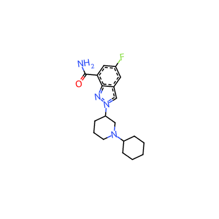 NC(=O)c1cc(F)cc2cn(C3CCCN(C4CCCCC4)C3)nc12